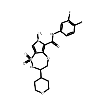 Cn1cc2c(c1C(=O)Nc1ccc(F)c(F)c1)OCC(C1CCOCC1)NS2(=O)=O